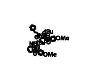 COc1ccc(S(=O)(=O)N2CC=CCC(N)C2C(=O)OC(C)(C)C)cc1.COc1ccc(S(=O)(=O)N2CC=CCC(NC(=O)CCc3ccccc3)C2C(=O)OC(C)(C)C)cc1